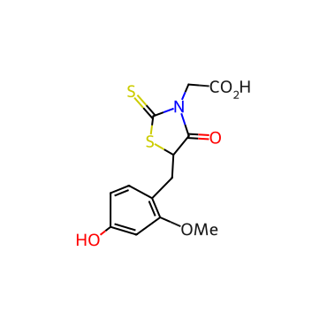 COc1cc(O)ccc1CC1SC(=S)N(CC(=O)O)C1=O